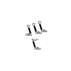 CCCC[O-].CCCC[O-].CCCC[O-].CCC[CH2][Sn+3]